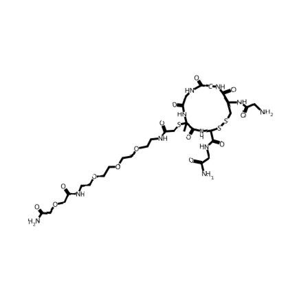 CC1(SCC(=O)NCCOCCOCCOCCNC(=O)COCC(N)=O)NC(=O)CNC(=O)CNC(=O)C(NC(=O)CN)CSSC(C(=O)NCC(N)=O)NC1=O